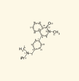 CC(C)N(C)Cc1ccc(-c2cn(C)c(=O)c3ccccc23)cc1